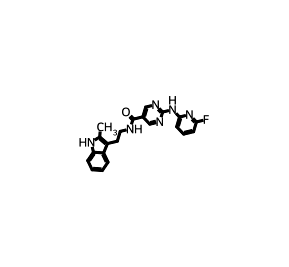 Cc1[nH]c2ccccc2c1CCNC(=O)c1cnc(Nc2cccc(F)n2)nc1